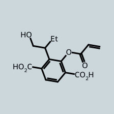 C=CC(=O)Oc1c(C(=O)O)ccc(C(=O)O)c1C(CC)CO